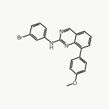 COc1ccc(-c2cccc3cnc(Nc4cccc(Br)c4)nc23)cc1